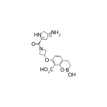 N[C@@H]1CN[C@H](C(=O)N2CC(Oc3ccc4c(c3C(=O)O)OB(O)CC4)C2)C1